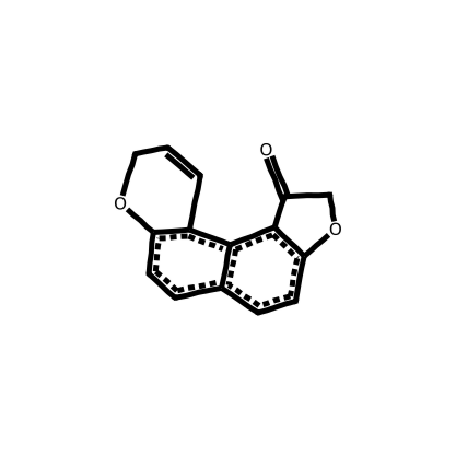 O=C1COc2ccc3ccc4c(c3c21)C=CCO4